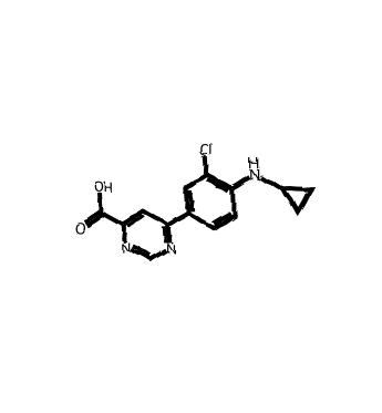 O=C(O)c1cc(-c2ccc(NC3CC3)c(Cl)c2)ncn1